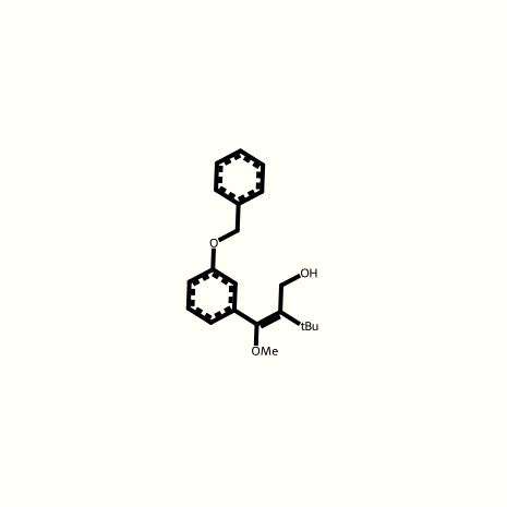 COC(=C(CO)C(C)(C)C)c1cccc(OCc2ccccc2)c1